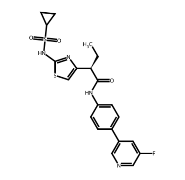 CC[C@@H](C(=O)Nc1ccc(-c2cncc(F)c2)cc1)c1csc(NS(=O)(=O)C2CC2)n1